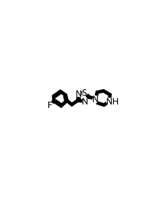 Fc1cccc(Cc2nsc(N3CCCNCC3)n2)c1